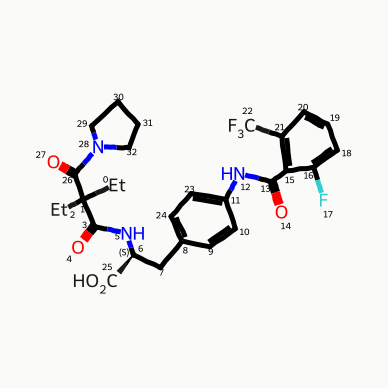 CCC(CC)(C(=O)N[C@@H](Cc1ccc(NC(=O)c2c(F)cccc2C(F)(F)F)cc1)C(=O)O)C(=O)N1CCCC1